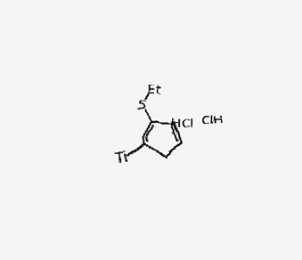 CCSC1=[C]([Ti])CC=C1.Cl.Cl